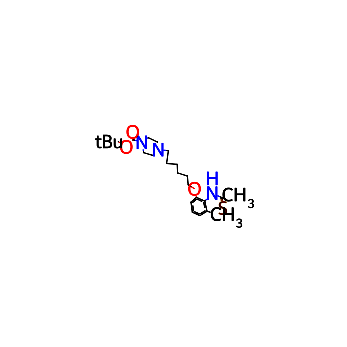 CC(=S)Nc1c(C)cccc1OCCCCCCN1CCN(C(=O)OC(C)(C)C)CC1